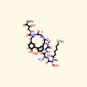 CCCCCCCCCCCCCCCC(=O)N(C)[C@H](CO)C(=O)N[C@H](N)C(=O)NCC(=O)N(C)[C@@H]1C(=O)N[C@@H](C)C(=O)N[C@H](C(=O)NCC(O)C(=O)NC)Cc2ccc(O)c(c2)-c2cc1ccc2O